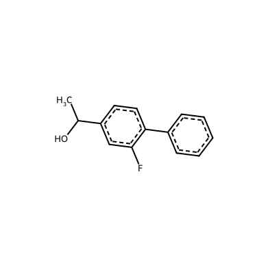 CC(O)c1ccc(-c2ccccc2)c(F)c1